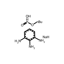 CCCCO[PH](=O)O.Nc1cccc(N)c1N.[NaH]